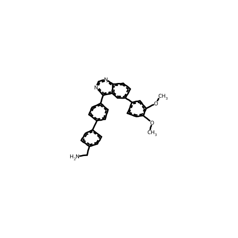 COc1ccc(-c2ccc3ncnc(-c4ccc(-c5ccc(CN)cc5)cc4)c3c2)cc1OC